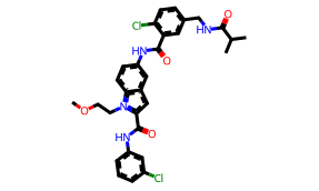 COCCn1c(C(=O)Nc2cccc(Cl)c2)cc2cc(NC(=O)c3cc(CNC(=O)C(C)C)ccc3Cl)ccc21